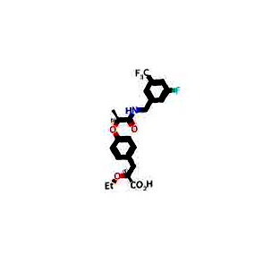 CCO[C@@H](Cc1ccc(O[C@@H](C)C(=O)NCc2cc(F)cc(C(F)(F)F)c2)cc1)C(=O)O